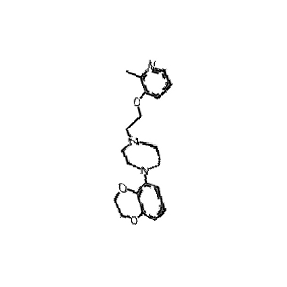 Cc1ncccc1OCCN1CCN(c2cccc3c2OCCO3)CC1